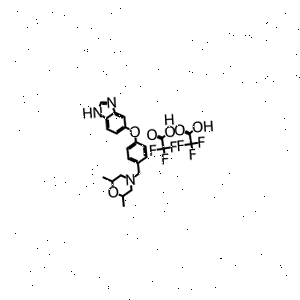 CC1CN(Cc2ccc(Oc3ccc4[nH]cnc4c3)cc2)CC(C)O1.O=C(O)C(F)(F)F.O=C(O)C(F)(F)F